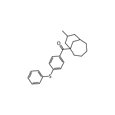 CC1CC2CCCCC(C(=O)c3ccc(Sc4ccccc4)cc3)(C1)C2